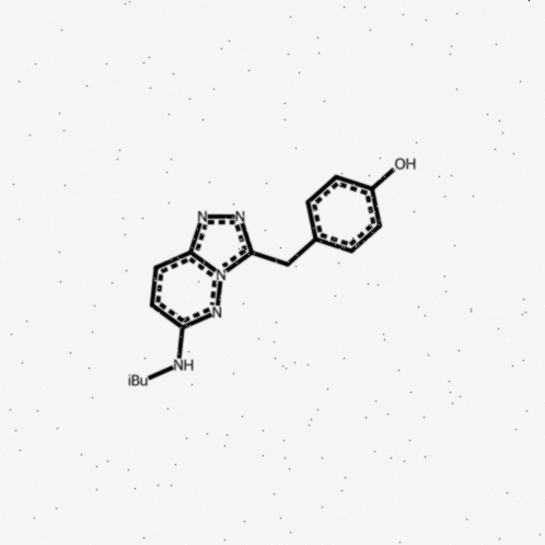 CCC(C)Nc1ccc2nnc(Cc3ccc(O)cc3)n2n1